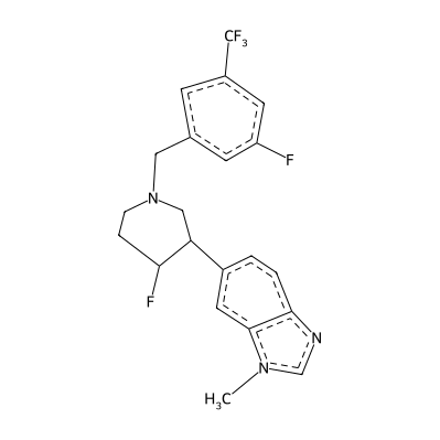 Cn1cnc2ccc(C3CN(Cc4cc(F)cc(C(F)(F)F)c4)CCC3F)cc21